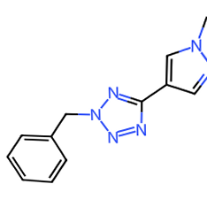 Cn1cc(-c2nnn(Cc3ccccc3)n2)cn1